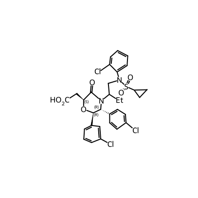 CCC(CN(c1ccccc1Cl)S(=O)(=O)C1CC1)N1C(=O)[C@H](CC(=O)O)O[C@H](c2cccc(Cl)c2)[C@H]1c1ccc(Cl)cc1